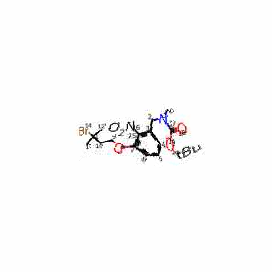 CN(Cc1cccc(OCCC(C)(C)Br)c1[N+](=O)[O-])C(=O)OC(C)(C)C